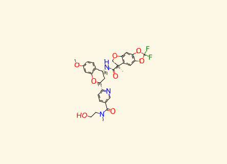 COc1ccc2c(c1)O[C@@H](c1ccc(C(=O)N(C)CCO)cn1)C[C@H]2NC(=O)[C@@]1(C)COc2cc3c(cc21)OC(F)(F)O3